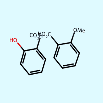 COc1ccccc1C(=O)O.O=C(O)c1ccccc1O